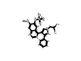 COc1cc2ncnc(-c3cn(CC(F)F)nc3-c3ccccc3)c2cc1OS(=O)(=O)C(F)(F)F